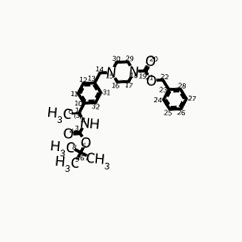 C[C@H](NC(=O)OC(C)(C)C)c1ccc(CN2CCN(C(=O)OCc3ccccc3)CC2)cc1